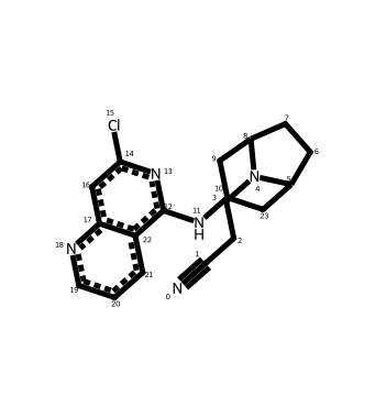 N#CCCN1C2CCC1CC(Nc1nc(Cl)cc3ncccc13)C2